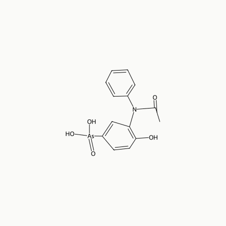 CC(=O)N(c1ccccc1)c1cc([As](=O)(O)O)ccc1O